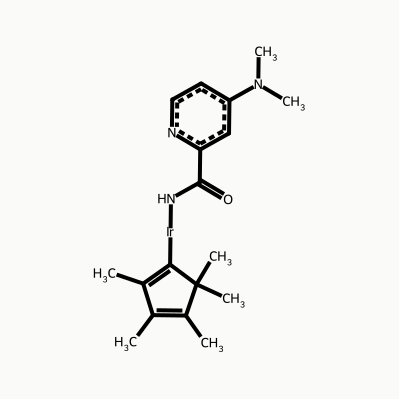 CC1=C(C)C(C)(C)[C]([Ir][NH]C(=O)c2cc(N(C)C)ccn2)=C1C